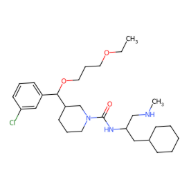 CCOCCCOC(c1cccc(Cl)c1)C1CCCN(C(=O)NC(CNC)CC2CCCCC2)C1